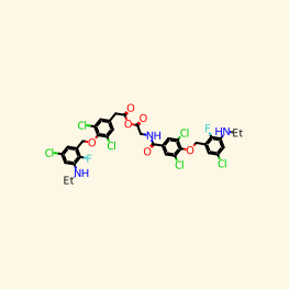 CCNc1cc(Cl)cc(COc2c(Cl)cc(CC(=O)OC(=O)CNC(=O)c3cc(Cl)c(OCc4cc(Cl)cc(NCC)c4F)c(Cl)c3)cc2Cl)c1F